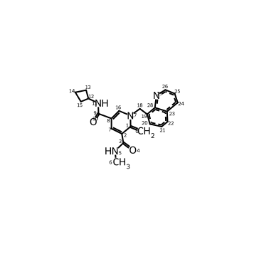 C=C1C(C(=O)NC)=CC(C(=O)NC2CCC2)=CN1Cc1cccc2cccnc12